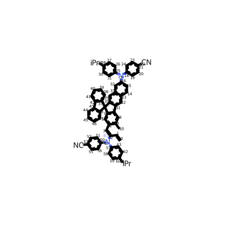 C=C/C(=C\c1cc2c(cc1C)-c1cc3ccc(N(c4ccc(C#N)cc4)c4ccc(C(C)C)cc4)cc3cc1C21c2ccccc2-c2ccccc21)N(c1ccc(C#N)cc1)c1ccc(C(C)C)cc1